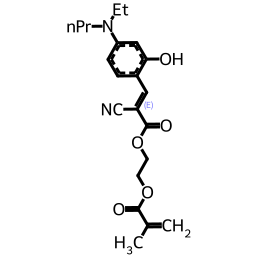 C=C(C)C(=O)OCCOC(=O)/C(C#N)=C/c1ccc(N(CC)CCC)cc1O